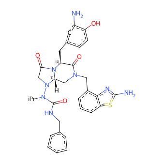 CC(C)N(C(=O)NCc1ccccc1)N1CC(=O)N2[C@@H](Cc3ccc(O)c(N)c3)C(=O)N(Cc3cccc4sc(N)nc34)C[C@@H]21